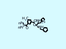 CCCN(CCC)C(=O)c1cc(C)cc(C(=O)O[C@H](CNCc2ccccc2)[C@@H](N)Cc2cccs2)c1